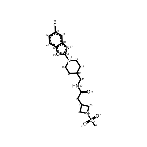 CS(=O)(=O)N1CC(CC(=O)NCC2CCN(c3nc4cc(Cl)ccc4o3)CC2)C1